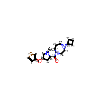 CC(=O)N1C[C@@H](Oc2ccsc2)C[C@@H]1C(=O)N1CCCN(C2CCC2)CC1